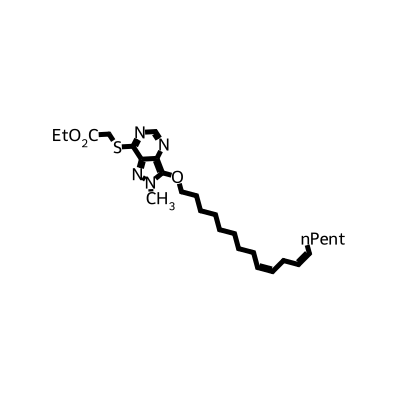 CCCCC/C=C\C/C=C\CCCCCCCCOc1c2ncnc(SCC(=O)OCC)c2nn1C